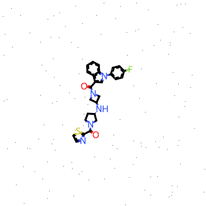 O=C(c1nccs1)N1CC[C@H](NC2CN(C(=O)c3cn(-c4ccc(F)cc4)c4ccccc34)C2)C1